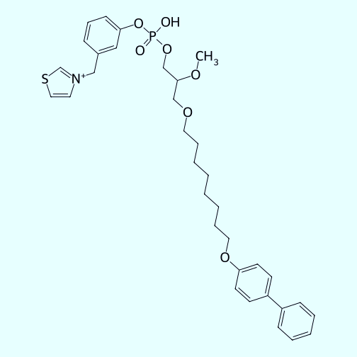 COC(COCCCCCCCCOc1ccc(-c2ccccc2)cc1)COP(=O)(O)Oc1cccc(C[n+]2ccsc2)c1